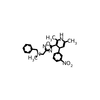 CC1=CC(c2cccc([N+](=O)[O-])c2)C(c2nc(CN(C)Cc3ccccc3)no2)=C(C)N1